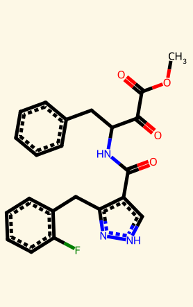 COC(=O)C(=O)C(Cc1ccccc1)NC(=O)c1c[nH]nc1Cc1ccccc1F